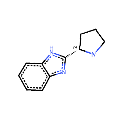 c1ccc2[nH]c([C@@H]3CCC[N]3)nc2c1